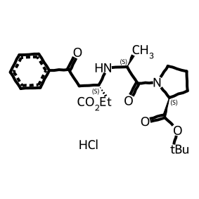 CCOC(=O)[C@H](CC(=O)c1ccccc1)N[C@@H](C)C(=O)N1CCC[C@H]1C(=O)OC(C)(C)C.Cl